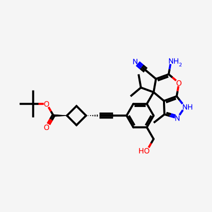 Cc1n[nH]c2c1C(c1cc(C#C[C@H]3C[C@H](C(=O)OC(C)(C)C)C3)cc(CO)c1)(C(C)C)C(C#N)=C(N)O2